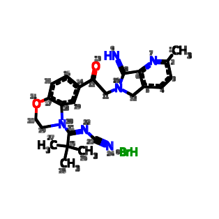 Br.Cc1ccc2c(n1)C(=N)N(CC(=O)c1ccc3c(c1)N(C(=NC#N)C(C)(C)C)CCO3)C2